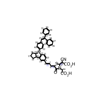 N#C/C(C(=O)O)=c1\s/c(=C\C=C\c2ccc3c(c2)C2CCCC2N3c2ccc(C=C(c3ccccc3)c3ccccc3)cc2)c(=O)n1CC(=O)O